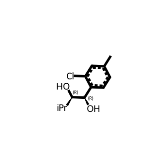 Cc1ccc([C@@H](O)[C@H](O)C(C)C)c(Cl)c1